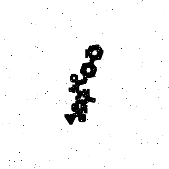 CC1=NC(N(C)C(=O)Cc2ccc(-c3ccccn3)cc2)SC1=NS(=O)(=O)C1CC1